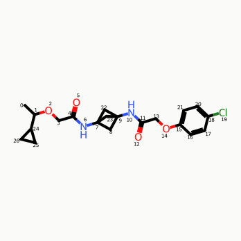 CC(OCC(=O)NC12CC(NC(=O)COc3ccc(Cl)cc3)(C1)C2)C1CC1